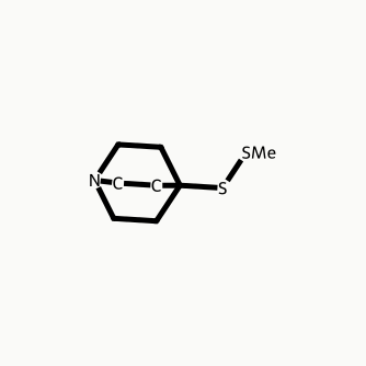 CSSC12CCN(CC1)CC2